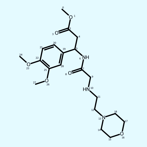 COC(=O)CC(NC(=O)CNCCN1CCOCC1)c1ccc(OC)c(OC)c1